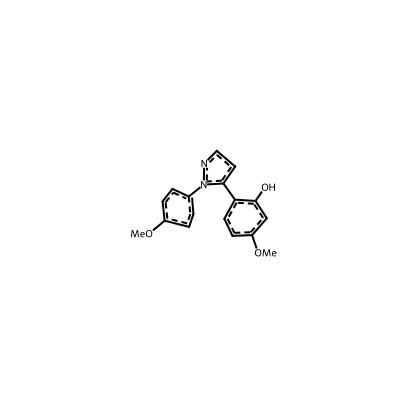 COc1ccc(-n2nccc2-c2ccc(OC)cc2O)cc1